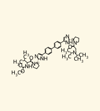 COC(=O)NC(C(=O)N1CCC[C@H]1c1ncc(-c2ccc(-c3ccc(-c4cnc([C@@H]5CCCN5C(=O)CN(C(C)C)C(C)C)[nH]4)cc3)cc2)[nH]1)C(C)C